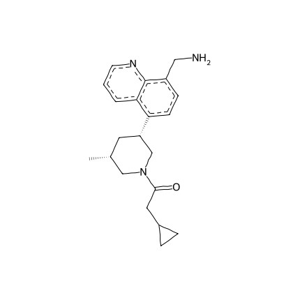 C[C@@H]1C[C@H](c2ccc(CN)c3ncccc23)CN(C(=O)CC2CC2)C1